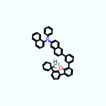 CC1(c2cccc3c2oc2c(-c4cccc(-c5ccc6cc(N(c7ccccc7)c7cccc8ccccc78)ccc6c5)c4)cccc23)C=CC=CC1